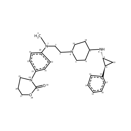 CN(CCN1CCC(N[C@@H]2C[C@H]2c2ccccc2)CC1)c1ccc(N2CCCOC2=O)cc1